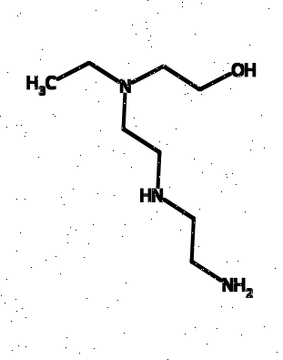 CCN(CCO)CCNCCN